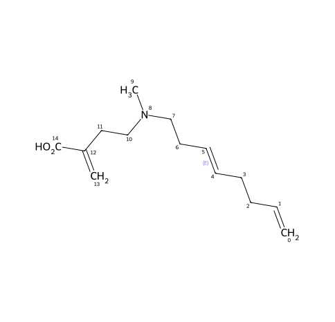 C=CCC/C=C/CCN(C)CCC(=C)C(=O)O